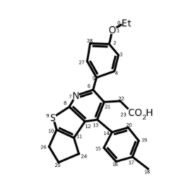 CCOc1ccc(-c2nc3sc4c(c3c(-c3ccc(C)cc3)c2CC(=O)O)CCC4)cc1